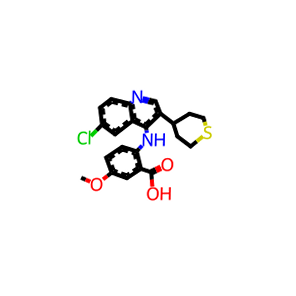 COc1ccc(Nc2c(C3CCSCC3)cnc3ccc(Cl)cc23)c(C(=O)O)c1